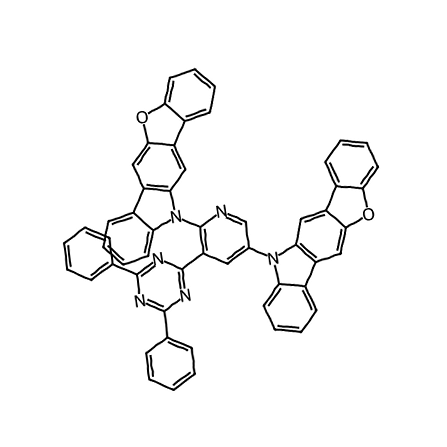 c1ccc(-c2nc(-c3ccccc3)nc(-c3cc(-n4c5ccccc5c5cc6oc7ccccc7c6cc54)cnc3-n3c4ccccc4c4cc5oc6ccccc6c5cc43)n2)cc1